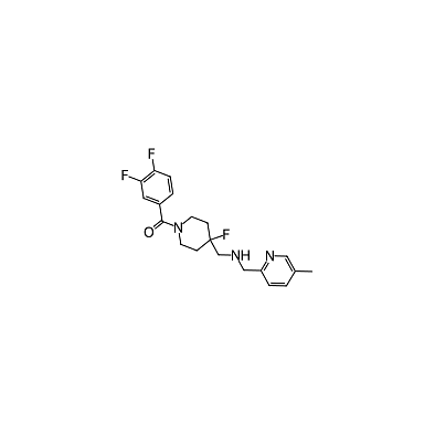 Cc1ccc(CNCC2(F)CCN(C(=O)c3ccc(F)c(F)c3)CC2)nc1